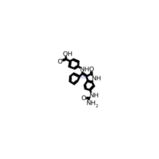 NC(=O)Nc1ccc2c(c1)NC(=O)/C2=C(\Nc1ccc(C(=O)O)cc1)c1ccccc1